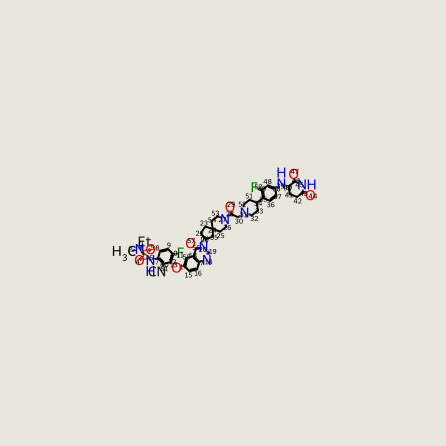 CCN(C)S(=O)(=O)Nc1ccc(F)c(Oc2ccc3ncn([C@@H]4CCC5(CCN(C(=O)CN6CCC(c7ccc(N[C@H]8CCC(=O)NC8=O)cc7F)CC6)CC5)C4)c(=O)c3c2)c1C#N